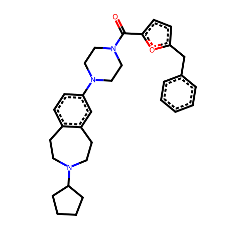 O=C(c1ccc(Cc2ccccc2)o1)N1CCN(c2ccc3c(c2)CCN(C2CCCC2)CC3)CC1